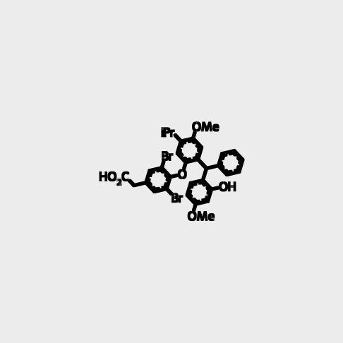 COc1ccc(C(c2ccccc2)c2cc(OC)c(C(C)C)cc2Oc2c(Br)cc(CC(=O)O)cc2Br)c(O)c1